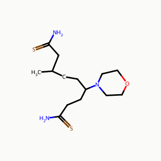 CC(CCC(CCC(N)=S)N1CCOCC1)CC(N)=S